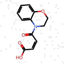 O=C(O)/C=C\C(=O)N1CCOc2ccccc21